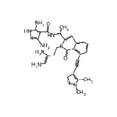 Cc1c(C#Cc2cccc3cc([C@H](C)NC(=O)c4c(N)n[nH]c4N)n(CC/C(N)=C/N)c(=O)c23)cnn1C